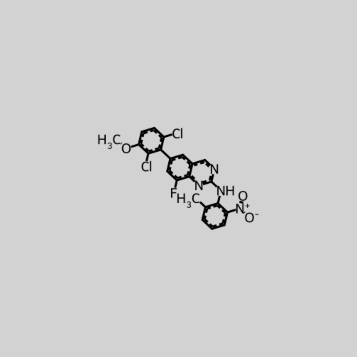 COc1ccc(Cl)c(-c2cc(F)c3nc(Nc4c(C)cccc4[N+](=O)[O-])ncc3c2)c1Cl